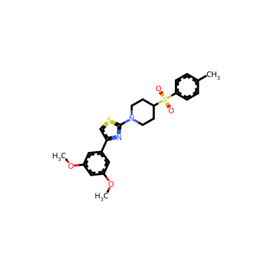 COc1cc(OC)cc(-c2csc(N3CCC(S(=O)(=O)c4ccc(C)cc4)CC3)n2)c1